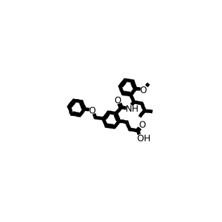 COc1ccccc1C(CC(C)C)NC(=O)c1cc(COc2ccccc2)ccc1CCC(=O)O